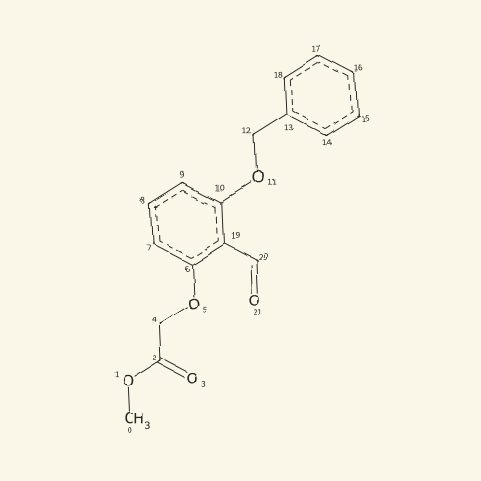 COC(=O)COc1cccc(OCc2ccccc2)c1C=O